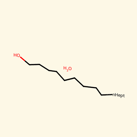 CCCCCCCCCCCCCCCCO.O